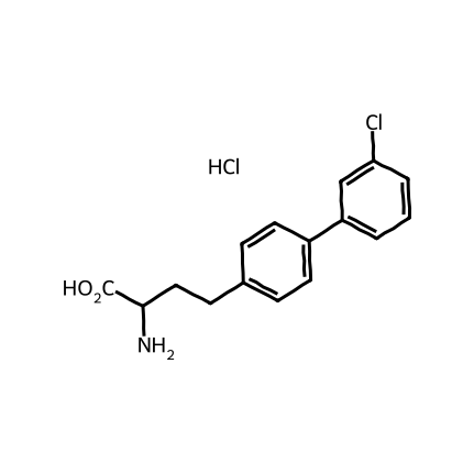 Cl.NC(CCc1ccc(-c2cccc(Cl)c2)cc1)C(=O)O